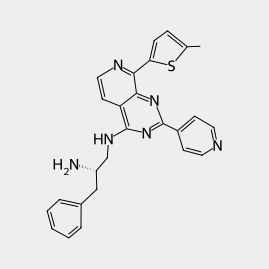 Cc1ccc(-c2nccc3c(NC[C@@H](N)Cc4ccccc4)nc(-c4ccncc4)nc23)s1